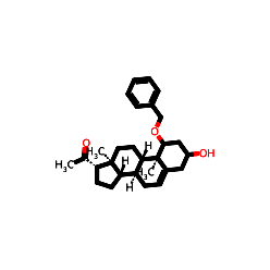 CC(=O)[C@H]1CC[C@H]2[C@@H]3CC=C4CC(O)CC(OCc5ccccc5)[C@]4(C)[C@H]3CC[C@]12C